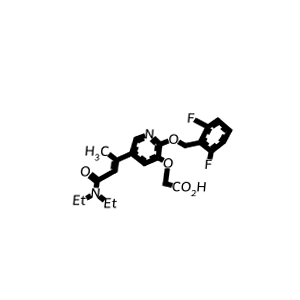 CCN(CC)C(=O)C=C(C)c1cnc(OCc2c(F)cccc2F)c(OCC(=O)O)c1